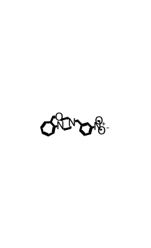 O=CC1C=CC=CC=C1N1CCN(Cc2cccc([N+](=O)[O-])c2)CC1